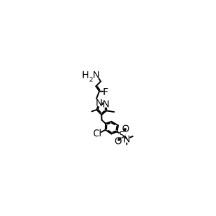 Cc1nn(C/C(F)=C/CN)c(C)c1Cc1ccc(S(=O)(=O)N(C)C)cc1Cl